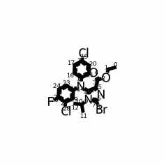 CCOC(=O)c1nc(Br)n(C(C)C)c1N(c1ccc(Cl)cc1)c1ccc(F)c(Cl)c1